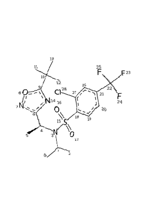 CC(C)N([C@@H](C)c1noc(C(C)(C)C)n1)S(=O)(=O)c1ccc(C(F)(F)F)cc1Cl